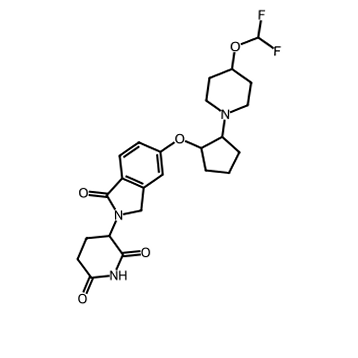 O=C1CCC(N2Cc3cc(OC4CCCC4N4CCC(OC(F)F)CC4)ccc3C2=O)C(=O)N1